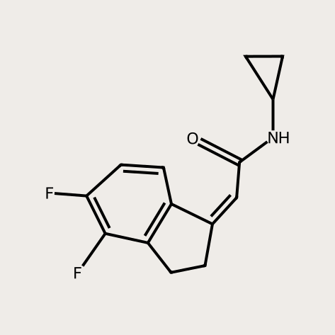 O=C(/C=C1/CCc2c1ccc(F)c2F)NC1CC1